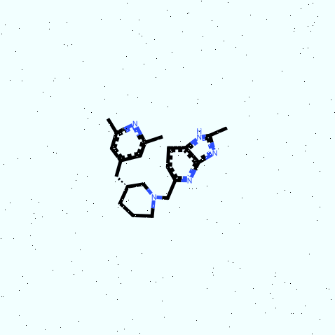 Cc1cc(C[C@H]2CCCN(Cc3ccc4[nH]c(C)nc4n3)C2)cc(C)n1